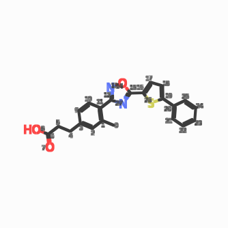 Cc1cc(CCC(=O)O)ccc1-c1noc(-c2ccc(-c3ccccc3)s2)n1